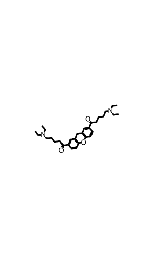 CCN(CC)CCCCC(=O)c1ccc2c(c1)Cc1cc(C(=O)CCCCN(CC)CC)ccc1O2